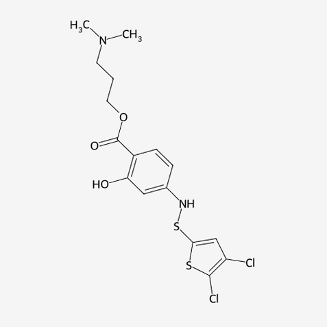 CN(C)CCCOC(=O)c1ccc(NSc2cc(Cl)c(Cl)s2)cc1O